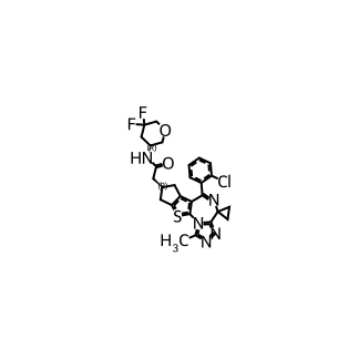 Cc1nnc2n1-c1sc3c(c1C(c1ccccc1Cl)=NC21CC1)C[C@H](CC(=O)N[C@H]1COCC(F)(F)C1)C3